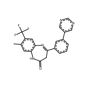 Cc1cc2c(cc1C(F)(F)F)N=C(c1cccc(-c3cncnc3)c1)CC(=O)N2